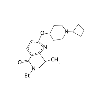 CCN1CC(C)c2nc(OC3CCN(C4CCC4)CC3)ccc2C1=O